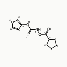 O=C(NOC(=O)C1CCCC1)Oc1ccon1